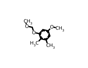 COCOc1cc(OC)cc(C)c1C